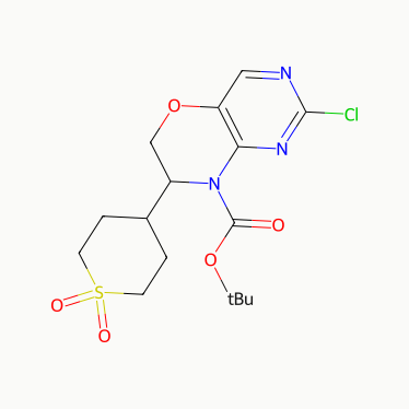 CC(C)(C)OC(=O)N1c2nc(Cl)ncc2OCC1C1CCS(=O)(=O)CC1